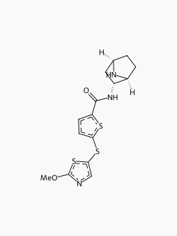 COc1ncc(Sc2ccc(C(=O)N[C@@H]3C[C@H]4CC[C@@H]3N4)s2)s1